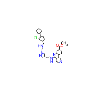 COC(=O)c1ccc2c(c1)nc(NCCc1cnn(CCNCc3ccc(-c4ccccc4)c(Cl)c3)c1)c1ccncc12